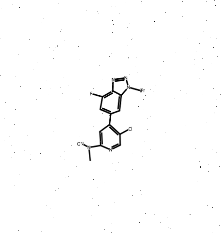 CC(C)n1nnc2c(F)cc(-c3cc(N(C)N=O)ncc3Cl)cc21